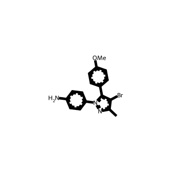 COc1ccc(-c2c(Br)c(C)nn2-c2ccc(N)cc2)cc1